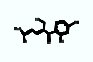 CC/C(=C\C=C(/CO)C(=O)c1ccc(O)cc1O)OC